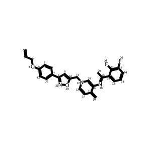 C=CCOc1ccc(-c2cc(CN3C=CC(=C)C(/N=C(\C)c4cccc(F)c4F)=C3)on2)cc1